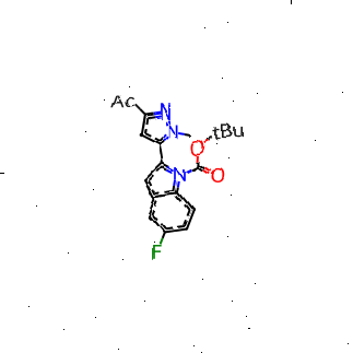 CC(=O)c1cc(-c2cc3cc(F)ccc3n2C(=O)OC(C)(C)C)n(C)n1